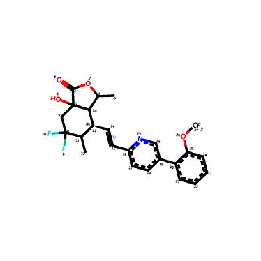 CC1OC(=O)C2(O)CC(F)(F)C(C)[C@H](/C=C/c3ccc(-c4ccccc4OC(F)(F)F)cn3)C12